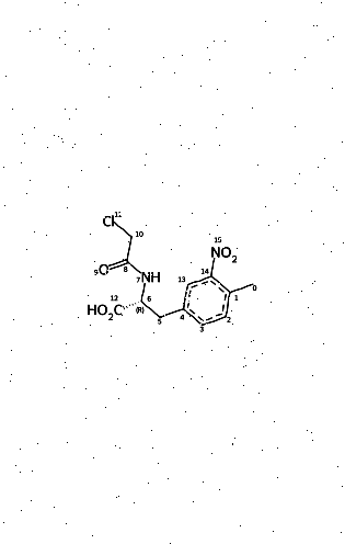 Cc1ccc(C[C@@H](NC(=O)CCl)C(=O)O)cc1[N+](=O)[O-]